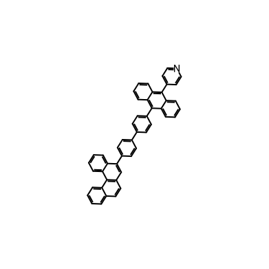 c1ccc2c(c1)ccc1cc(-c3ccc(-c4ccc(-c5c6ccccc6c(-c6ccncc6)c6ccccc56)cc4)cc3)c3ccccc3c12